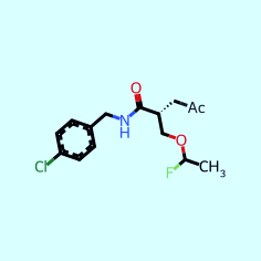 CC(=O)C[C@H](COC(C)F)C(=O)NCc1ccc(Cl)cc1